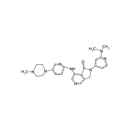 CN1CCN(c2ccc(Nc3cncc4c3C(=O)N(c3ccnc(N(C)C)c3)C4)nc2)CC1